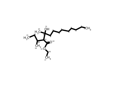 CCCCCCCCCC(C)(O)C(C(=O)OCC)C(C)CC